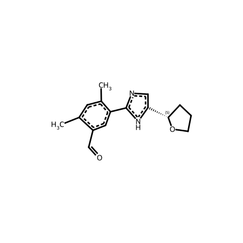 Cc1cc(C)c(-c2ncc([C@@H]3CCCO3)[nH]2)cc1C=O